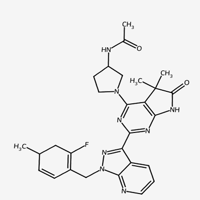 CC(=O)NC1CCN(c2nc(-c3nn(CC4=C(F)CC(C)C=C4)c4ncccc34)nc3c2C(C)(C)C(=O)N3)C1